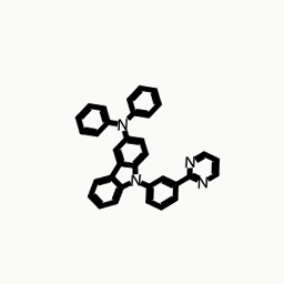 c1ccc(N(c2ccccc2)c2ccc3c(c2)c2ccccc2n3-c2cccc(-c3ncccn3)c2)cc1